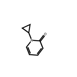 O=c1c[c]ccn1C1CC1